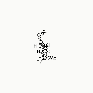 CSc1cc(C)[nH]c(=O)c1CNC(=O)c1cc(Cl)c2c(c1C)OC(C)(C1CCC(OCC(=O)N3CC(F)(F)C3)CC1)O2